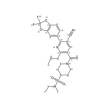 CCN(C)S(=O)(=O)C1CCN(C(=O)c2cc(C#N)c(-c3ccc4c(c3)OC(F)(F)O4)nc2COC)CC1